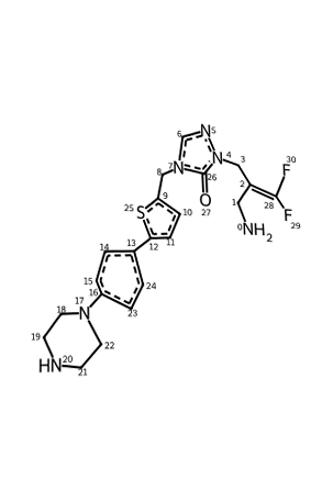 NCC(Cn1ncn(Cc2ccc(-c3ccc(N4CCNCC4)cc3)s2)c1=O)=C(F)F